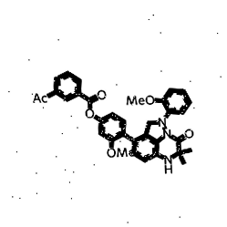 COc1cc(OC(=O)c2cccc(C(C)=O)c2)ccc1-c1ccc2c3c1CN(c1ccccc1OC)N3C(=O)C(C)(C)N2